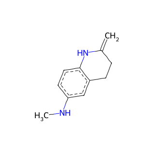 C=C1CCc2cc(NC)ccc2N1